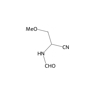 COCC(C#N)NC=O